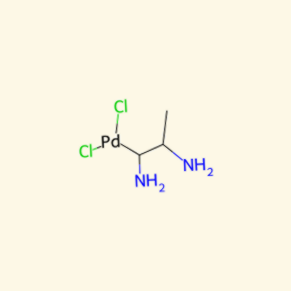 CC(N)[CH](N)[Pd]([Cl])[Cl]